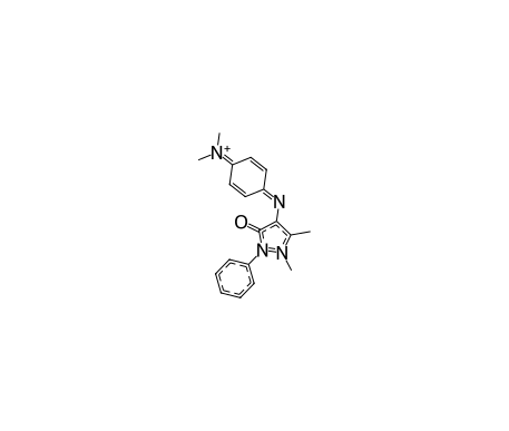 Cc1c(N=C2C=CC(=[N+](C)C)C=C2)c(=O)n(-c2ccccc2)n1C